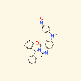 Cc1nc2ccc(N(C)c3ccc(N=O)cc3)cc2c(=O)n1C(c1ccccc1)c1ccccc1